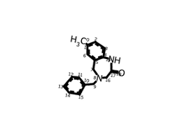 Cc1ccc2c(c1)CN(Cc1ccccc1)CC(=O)N2